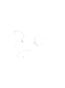 CC(C)(C)/[N+](O)=C/c1ccccc1Sc1ccc(Cl)cc1